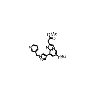 CCCCc1cc(-c2cnn(Cc3cccnc3)c2)c2nc(CC(=O)OC)cn2c1